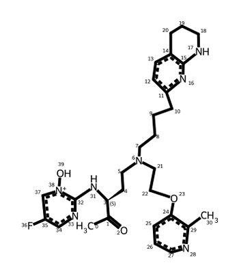 CC(=O)[C@H](CCN(CCCCc1ccc2c(n1)NCCC2)CCOc1cccnc1C)Nc1ncc(F)c[n+]1O